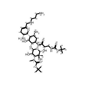 CN(C(=O)OC(C)(C)C)[C@@H]1[C@@H](O)[C@@H](O[C@H]2[C@H](NC(=O)[C@@H](O)CNC(=O)OC(C)(C)C)C[C@H](N)C([C@H]3OC(CNCCCN)=CC[C@H]3N)[C@@H]2O)OC[C@]1(C)O